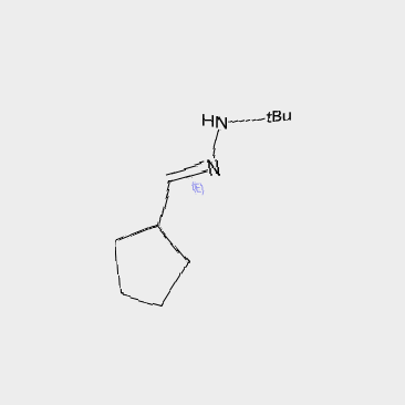 CC(C)(C)N/N=C/C1CCCC1